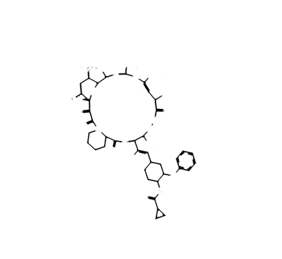 CCC1/C=C(\C)CC(C)CC(OC)C2OC(O)(C(=O)C(=O)N3CCCCC3C(=O)OC(C(C)=CC3CCC(NC(=O)C4CC4)C(Oc4ccccc4)C3)C(C)CCC1=O)C(C)CC2OC